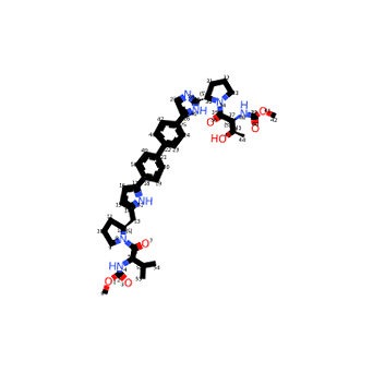 COC(=O)NC(C(=O)N1CCC[C@H]1Cc1ccc(-c2ccc(-c3ccc(-c4cnc([C@@H]5CCCN5C(=O)[C@@H](NC(=O)OC)[C@@H](C)O)[nH]4)cc3)cc2)[nH]1)C(C)C